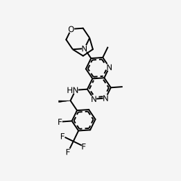 Cc1nc2c(C)nnc(N[C@H](C)c3cccc(C(F)(F)F)c3F)c2cc1N1C2CCC1COC2